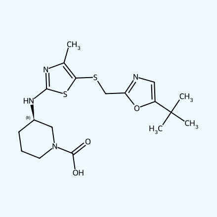 Cc1nc(N[C@@H]2CCCN(C(=O)O)C2)sc1SCc1ncc(C(C)(C)C)o1